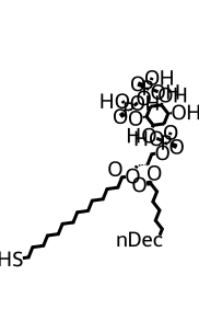 CCCCCCCCCCCCCCCC(=O)O[C@H](COC(=O)CCCCCCCCCCCCCS)COP(=O)(O)OC1C(O)[C@@H](OP(=O)(O)O)C(OP(=O)(O)O)[C@@H](O)[C@H]1O